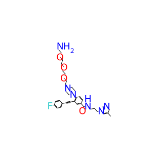 CC1=CN(CCCNC(=O)c2ccc(N3CCN(CCOCCOCCOCCN)CC3)c(C#Cc3ccc(F)cc3)c2)C=NC1